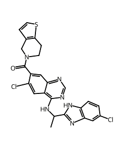 CC(Nc1ncnc2cc(C(=O)N3CCc4sccc4C3)c(Cl)cc12)c1nc2cc(Cl)ccc2[nH]1